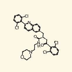 O=C(CC(Cc1ccc2nc(-c3c(Cl)cccc3Cl)ccc2c1)C(=O)NCCN1CCOCC1)c1c(Cl)cccc1Cl